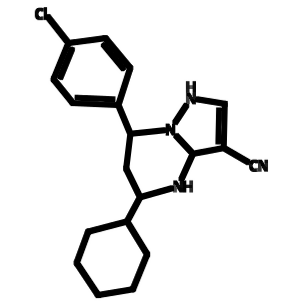 N#CC1=CNN2C1NC(C1CCCCC1)CC2c1ccc(Cl)cc1